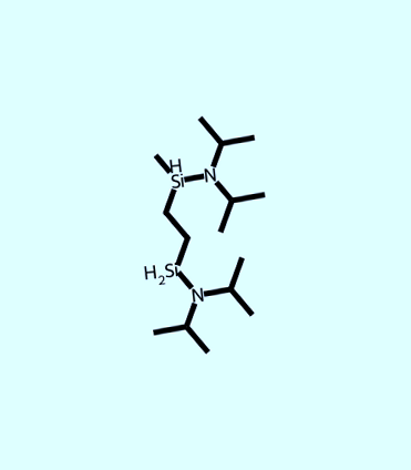 CC(C)N([SiH2]CC[SiH](C)N(C(C)C)C(C)C)C(C)C